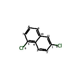 Clc1[c]cc2c(Cl)c[c]cc2c1